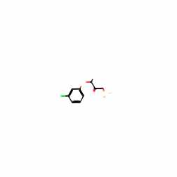 CC(Oc1cccc(Cl)c1)C(=O)CP(=O)(O)O